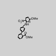 COC(=O)c1ccccc1-c1ccc(CNc2nc(OC)ccc2[N+](=O)[O-])cc1